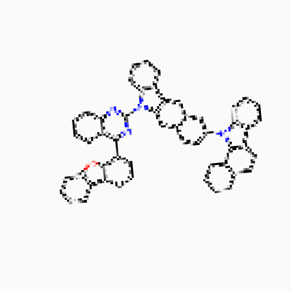 c1ccc2c(c1)ccc1c3ccccc3n(-c3ccc4cc5c(cc4c3)c3ccccc3n5-c3nc(-c4cccc5c4oc4ccccc45)c4ccccc4n3)c21